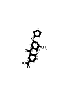 Cc1cc(OC2CCCC2)cc2c(=O)c3cc(C(=O)O)ccc3oc12